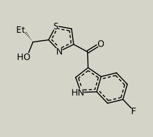 CC[C@@H](O)c1nc(C(=O)c2c[nH]c3cc(F)ccc23)cs1